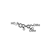 COCCN1C[C@@H](N2CC3CN(C(=O)O)CCN3C2=O)C[C@@H]1C(=O)OC